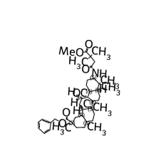 COC(=O)C(C)(C)CC(=O)N[C@H]1CC[C@]2(C)C3C(=O)C=C4[C@@H]5C[C@@](C)(C(=O)OCc6ccccc6)CC[C@]5(C)CC[C@@]4(C)[C@]3(C)CC[C@H]2C1(C)C